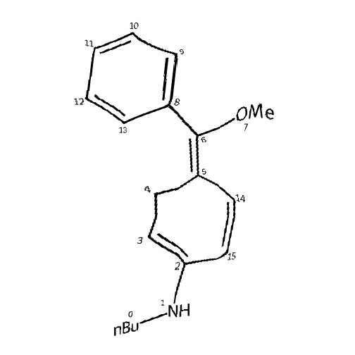 CCCCNC1=CCC(=C(OC)c2ccccc2)C=C1